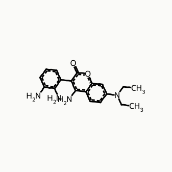 CCN(CC)c1ccc2c(N)c(-c3cccc(N)c3N)c(=O)oc2c1